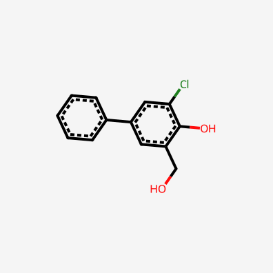 OCc1cc(-c2ccccc2)cc(Cl)c1O